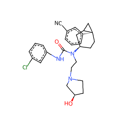 N#Cc1cccc([C@]23CC[C@@H](N(CCN4CC[C@@H](O)C4)C(=O)Nc4cccc(Cl)c4)CC2C3)c1